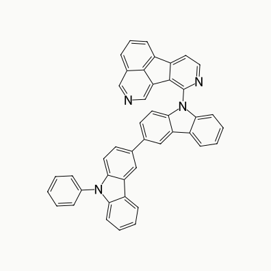 c1ccc(-n2c3ccccc3c3cc(-c4ccc5c(c4)c4ccccc4n5-c4nccc5c4-c4cncc6cccc-5c46)ccc32)cc1